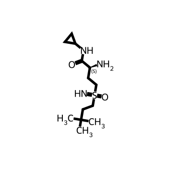 CC(C)(C)CCS(=N)(=O)CC[C@H](N)C(=O)NC1CC1